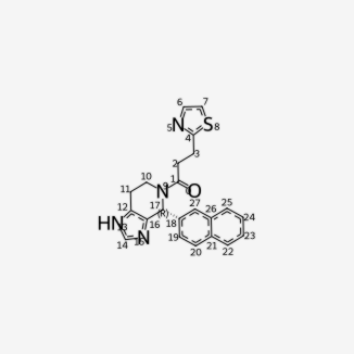 O=C(CCc1nccs1)N1CCc2[nH]cnc2[C@H]1c1ccc2ccccc2c1